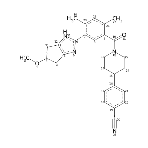 COC1Cc2nc(-c3cc(C(=O)N4CCC(c5ccc(C#N)cc5)CC4)c(C)cc3C)[nH]c2C1